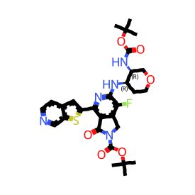 CC(C)(C)OC(=O)N[C@H]1COCC[C@H]1Nc1nc(-c2cc3ccncc3s2)c2c(c1F)CN(C(=O)OC(C)(C)C)C2=O